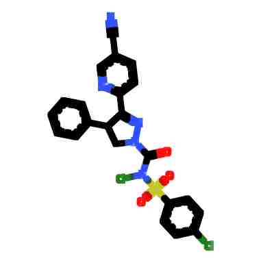 N#Cc1ccc(C2=NN(C(=O)N(Cl)S(=O)(=O)c3ccc(Cl)cc3)CC2c2ccccc2)nc1